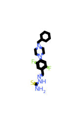 NC(=S)N/N=C/c1cc(F)c(N2CCN(CC3CCCCC3)CC2)cc1F